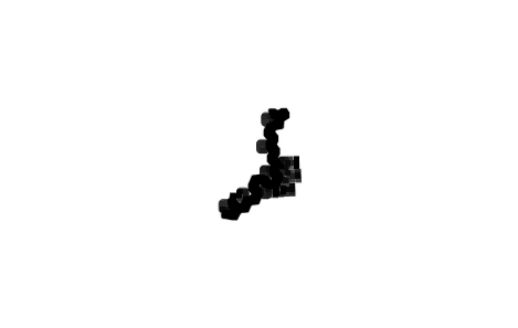 C=C1COC(CCC(=O)CCC(O)C2OC3CCC(CC(=O)CC4CCO[C@H]4C)O[C@@H]3C(O)C2O)C1